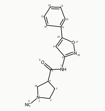 N#CN1CCC(C(=O)Nc2cc(-c3ccccc3)on2)C1